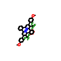 COc1ccc(-c2cc(-c3ccccc3-c3cc(-c4ccc(OC)cc4)c(C(F)(F)F)c(-c4ccccc4)n3)nc(-c3ccccc3)c2C(F)(F)F)cc1